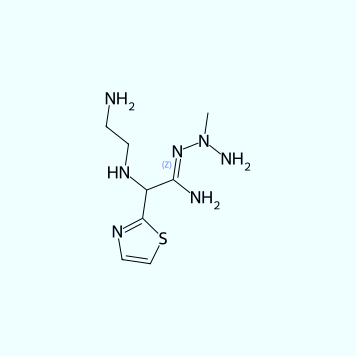 CN(N)/N=C(\N)C(NCCN)c1nccs1